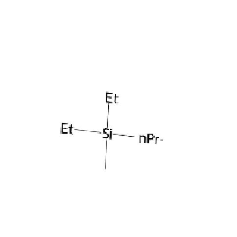 CC[CH][Si](C)(CC)CC